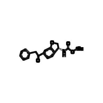 CC(C)(C)OC(=O)N[C@H]1COc2cc(C(=O)Cc3ccccc3)ccc21